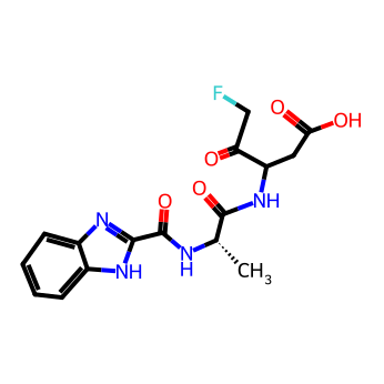 C[C@H](NC(=O)c1nc2ccccc2[nH]1)C(=O)NC(CC(=O)O)C(=O)CF